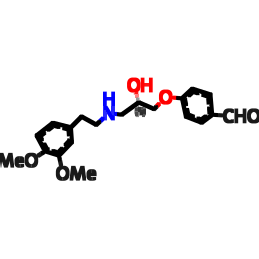 COc1ccc(CCNC[C@H](O)COc2ccc(C=O)cc2)cc1OC